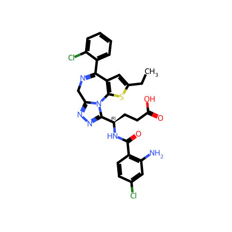 CCc1cc2c(s1)-n1c(nnc1[C@@H](CCC(=O)O)NC(=O)c1ccc(Cl)cc1N)CN=C2c1ccccc1Cl